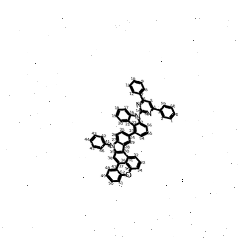 c1ccc(-c2cc(-c3ccccc3)nc(-n3c4ccccc4c4c(-c5ccc6c(c5)c5c7cccc8c7c(cc5n6-c5ccccc5)-c5ccccc5O8)cccc43)n2)cc1